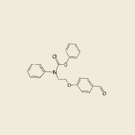 O=Cc1ccc(OCCN(C(=O)Oc2ccccc2)c2ccccc2)cc1